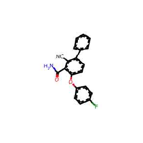 N#Cc1c(-c2ccccc2)ccc(Oc2ccc(F)cc2)c1C(N)=O